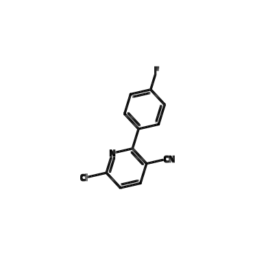 N#Cc1ccc(Cl)nc1-c1ccc(F)cc1